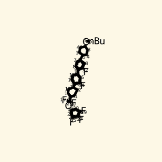 CCCCOC1CCC(c2ccc(-c3ccc(C4CCC(C(F)(F)Oc5cc(F)c(F)c(F)c5)CC4)c(F)c3)c(F)c2)CC1